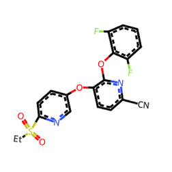 CCS(=O)(=O)c1ccc(Oc2ccc(C#N)nc2Oc2c(F)cccc2F)cn1